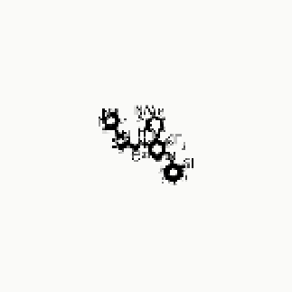 CNC[C@@H]1CCCN(c2c(NC(=O)c3csc(-c4ccnnc4)n3)ccc(Oc3ccccc3Cl)c2C(F)(F)F)C1